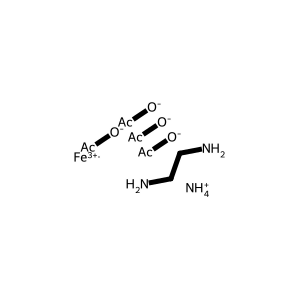 CC(=O)[O-].CC(=O)[O-].CC(=O)[O-].CC(=O)[O-].NCCN.[Fe+3].[NH4+]